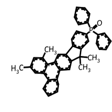 Cc1cc(C)c2c(c1)c1ccccc1c1cc3c(cc12)-c1ccc(P(=O)(c2ccccc2)c2ccccc2)cc1C3(C)C